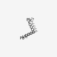 [O-2].[O-2].[O-2].[O-2].[O-2].[O-2].[O-2].[Pb+2].[Pb+2].[V+5].[V+5]